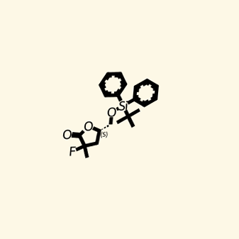 CC1(F)C[C@@H](CO[Si](c2ccccc2)(c2ccccc2)C(C)(C)C)OC1=O